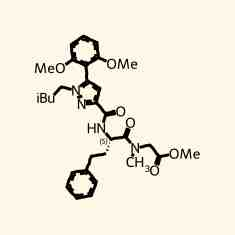 CCC(C)Cn1nc(C(=O)N[C@@H](CCc2ccccc2)C(=O)N(C)CC(=O)OC)cc1-c1c(OC)cccc1OC